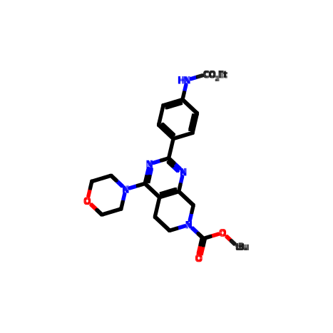 CCOC(=O)Nc1ccc(-c2nc3c(c(N4CCOCC4)n2)CCN(C(=O)OC(C)(C)C)C3)cc1